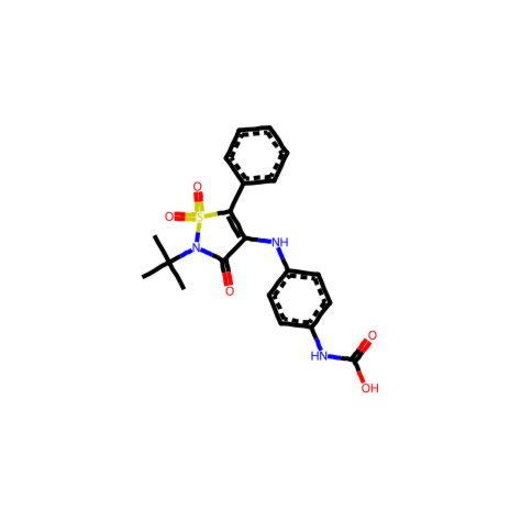 CC(C)(C)N1C(=O)C(Nc2ccc(NC(=O)O)cc2)=C(c2ccccc2)S1(=O)=O